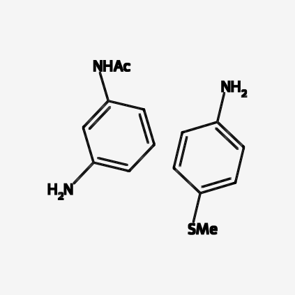 CC(=O)Nc1cccc(N)c1.CSc1ccc(N)cc1